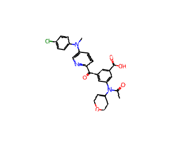 CC(=O)N(c1cc(C(=O)O)cc(C(=O)c2ccc(N(C)c3ccc(Cl)cc3)cn2)c1)C1CCOCC1